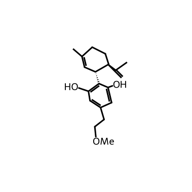 C=C(C)[C@@H]1CCC(C)=C[C@H]1c1c(O)cc(CCOC)cc1O